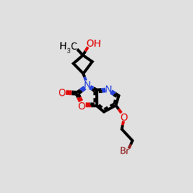 CC1(O)CC(n2c(=O)oc3cc(OCCBr)cnc32)C1